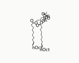 CCCCCCCCC=CCCCCCCCC(=O)OCC(CN(S(C)(=O)=O)S(C)(=O)=O)OC(=O)CCCCCCCC=CCCCCCCCC